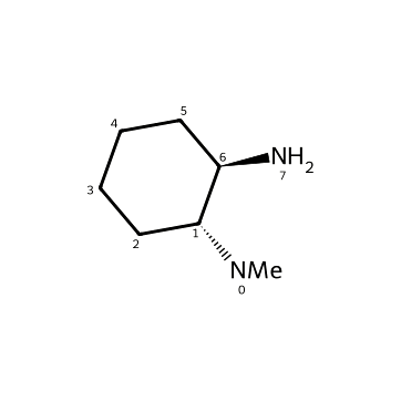 CN[C@@H]1CCCC[C@H]1N